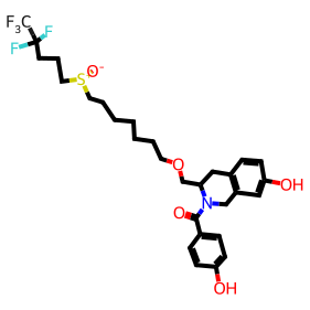 O=C(c1ccc(O)cc1)N1Cc2cc(O)ccc2CC1COCCCCCCC[S+]([O-])CCCC(F)(F)C(F)(F)F